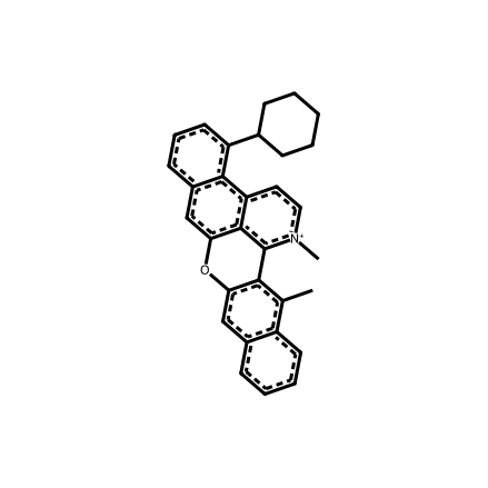 Cc1c2c(cc3ccccc13)Oc1cc3cccc(C4CCCCC4)c3c3cc[n+](C)c-2c13